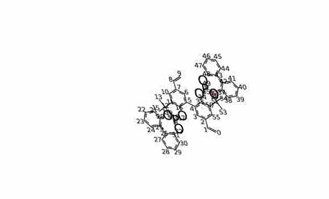 C=Cc1cc(-c2cc(C=C)cc(C(C)(C)C)c2Op2oc3ccccc3c3ccccc3o2)c(Op2oc3ccccc3c3ccccc3o2)c(C(C)(C)C)c1